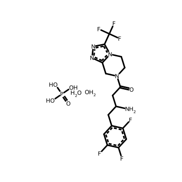 NC(CC(=O)N1CCn2c(nnc2C(F)(F)F)C1)Cc1cc(F)c(F)cc1F.O.O.O=P(O)(O)O